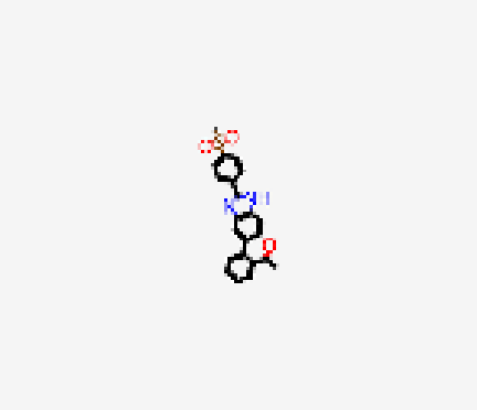 CC(=O)c1ccccc1-c1ccc2[nH]c(-c3ccc(S(C)(=O)=O)cc3)nc2c1